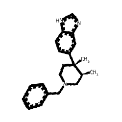 C[C@H]1CN(Cc2ccccc2)CC[C@]1(C)c1ccc2[nH]cnc2c1